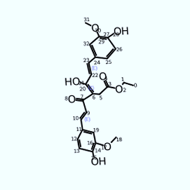 CCOC(=O)C/C(C(=O)/C=C/c1ccc(O)c(OC)c1)=C(O)\C=C\c1ccc(O)c(OC)c1